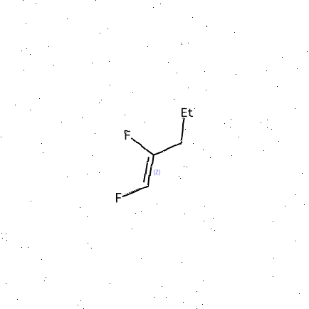 CCC/C(F)=C/F